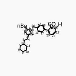 CCCCc1nc(CCC2CCCCC2)nn1Cc1ccc(-c2cccnc2C(=O)O)cc1